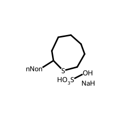 CCCCCCCCCC1CCCCCCS1.O=S(=O)(O)O.[NaH]